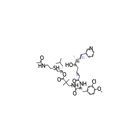 COc1ccc(C[C@@H](NC(=O)/C=C/C[C@H](O)[C@H](C)/C=C/c2cccnc2)C(=O)NCC(C)(C)C(=O)O[C@H](C=[SH]CCNC(C)=O)CC(C)C)cc1Cl